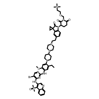 CCc1cc(Nc2ncc(Br)c(Nc3cnc4ccccc4c3P(C)(C)=O)n2)c(OC)cc1N1CCC(N2CCN(CCc3ccc4c(c3)C3(CC3)C(=O)N4C3CCC(=O)N(COCC[Si](C)(C)C)C3=O)CC2)CC1